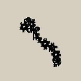 Cc1cccc(C)c1N1C(=O)CS/C1=N\C(=O)NCCCCc1ccc(-c2ncn(-c3ccc(OC(F)(F)F)cc3)n2)cc1